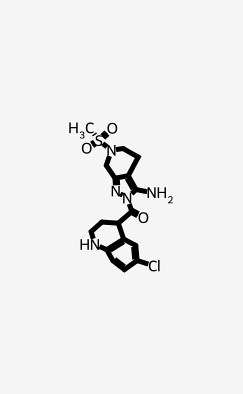 CS(=O)(=O)N1CCc2c(nn(C(=O)C3CCNc4ccc(Cl)cc43)c2N)C1